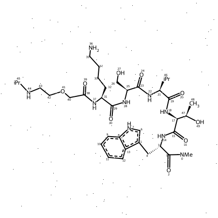 CNC(=O)[C@H](Cc1c[nH]c2ccccc12)NC(=O)[C@@H](NC(=O)[C@@H](NC(=O)[C@H](CO)NC(=O)[C@H](CCCCN)NC(=O)COCCNC(C)C)C(C)C)[C@@H](C)O